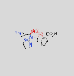 O=C(O)c1cccc2c1OB(O)[C@@H](N(C(=O)C1CNC1)c1ncccn1)C2